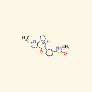 CSc1ncc2c(n1)N1CCC[C@H]1CN(c1cccc(-c3nn(C)c(=O)s3)c1)C2=O